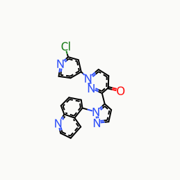 O=c1ccn(-c2ccnc(Cl)c2)nc1-c1ccnn1-c1cccc2ncccc12